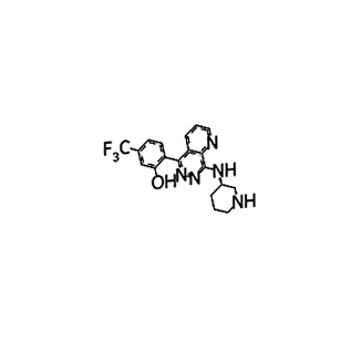 Oc1cc(C(F)(F)F)ccc1-c1nnc(N[C@@H]2CCCNC2)c2ncccc12